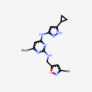 CNc1cc(Nc2cc(C3CC3)[nH]n2)nc(NCc2cc(C(C)C)no2)n1